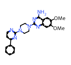 COc1cc2nc(N3CCN(c4nccc(-c5ccccc5)n4)CC3)nc(N)c2cc1OC